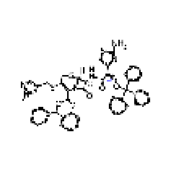 Cn1cc(CSC2=C(C(=O)OC(c3ccccc3)c3ccccc3)N3C(=O)[C@@H](NC(=O)/C(=N\OC(c4ccccc4)(c4ccccc4)c4ccccc4)c4csc(N)n4)[C@@H]3SC2)cn1